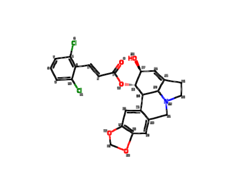 O=C(/C=C/c1c(Cl)cccc1Cl)O[C@H]1C2c3cc4c(cc3CN3CCC(=C[C@@H]1O)C23)OCO4